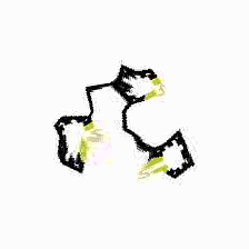 c1csc(Cc2ccsc2Cc2cccs2)c1